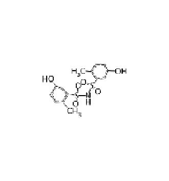 Cc1ccc(O)cc1S(=O)(=O)NS(=O)(=O)c1cc(O)ccc1C